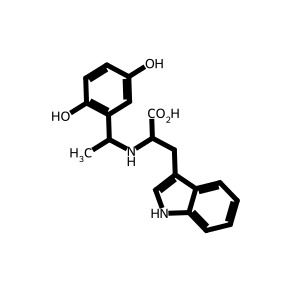 CC(NC(Cc1c[nH]c2ccccc12)C(=O)O)c1cc(O)ccc1O